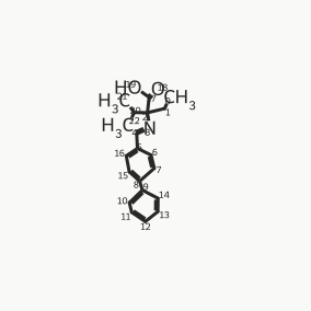 CCC(N=Cc1ccc(-c2ccccc2)cc1)(C(=O)O)C(C)C